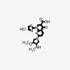 CNC1CN(c2ccc3c(=O)c(C(=O)O)cn(-c4nccs4)c3n2)CC1OC.Cl